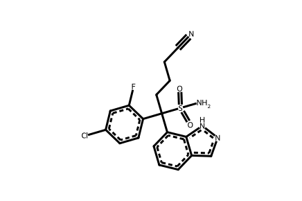 N#CCCCC(c1ccc(Cl)cc1F)(c1cccc2cn[nH]c12)S(N)(=O)=O